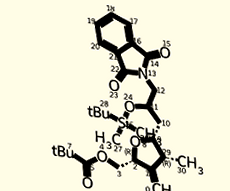 C=C1[C@H](COC(=O)C(C)(C)C)O[C@H](CC(CN2C(=O)c3ccccc3C2=O)O[Si](C)(C)C(C)(C)C)[C@@H]1C